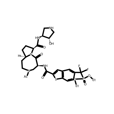 CCOP(=O)(OCC)C(F)(F)c1ccc2sc(C(=O)N[C@H]3CN(C(C)=O)CC[C@H]4CC[C@@H](C(=O)N[C@H]5CNC[C@@H]5O)N4C3=O)cc2c1